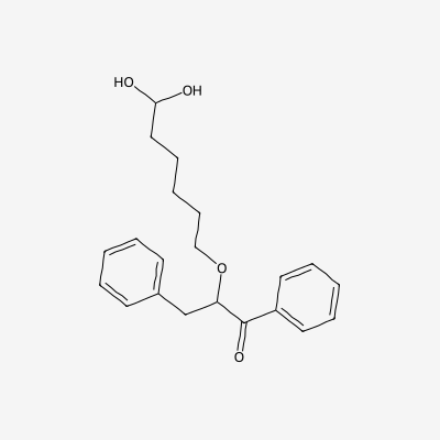 O=C(c1ccccc1)C(Cc1ccccc1)OCCCCCC(O)O